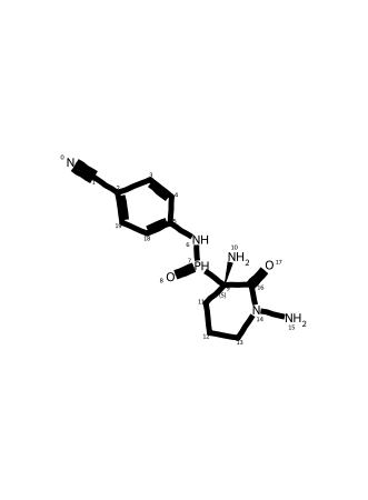 N#Cc1ccc(N[PH](=O)[C@@]2(N)CCCN(N)C2=O)cc1